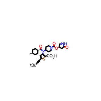 CC(C)(C)C#Cc1cc(N(C(=O)[C@H]2CC[C@H](C)CC2)C2CCN(C(=O)O[C@H]3CNC(=O)C3)CC2)c(C(=O)O)s1